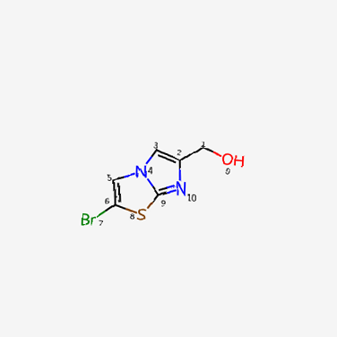 OCc1cn2cc(Br)sc2n1